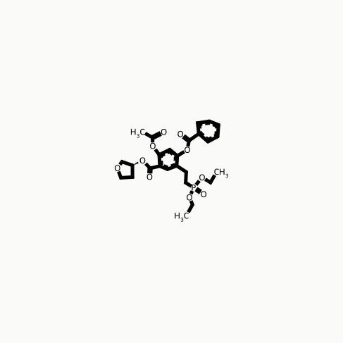 CCOP(=O)(CCc1cc(C(=O)O[C@@H]2CCOC2)c(OC(C)=O)cc1OC(=O)c1ccccc1)OCC